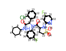 O=C(NC1CCCCC1)[C@H](c1ccccc1Cl)N(C(=O)C1CCS(=O)(=O)N1c1cc(F)ccn1)c1cccc(F)c1